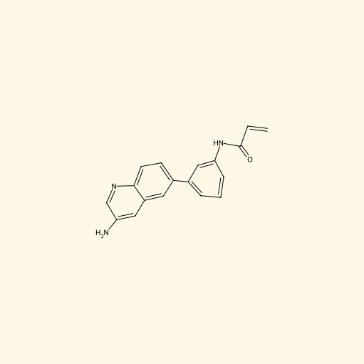 C=CC(=O)Nc1cccc(-c2ccc3ncc(N)cc3c2)c1